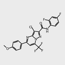 COc1ccc(-c2cc(C(F)(F)F)n3nc(C(=O)Nc4ccc(F)cc4F)c(Cl)c3n2)cc1